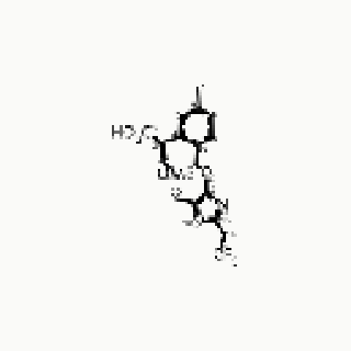 CO/C=C(/C(=O)O)c1cc(C)ccc1COc1nc(CC(F)(F)F)sc1C